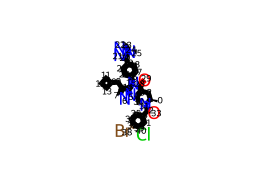 C[C@@H]1Cc2c(n3ncc(CC4CCC4)c3n(-c3ccc(-c4nncn4C)cc3)c2=O)CN1C(=O)c1ccc(Br)c(Cl)c1